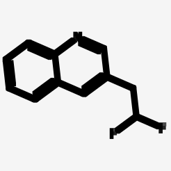 FC(F)Cc1cnc2ccccc2c1